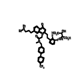 CCN(CC)CCCc1ccc2c(=O)cc(CCc3cccc(F)c3F)n(CC(=O)N(C)Cc3ccc(-c4ccc(C(F)(F)F)cc4)cc3)c2c1.O=C(O)C(O)C(O)C(=O)O